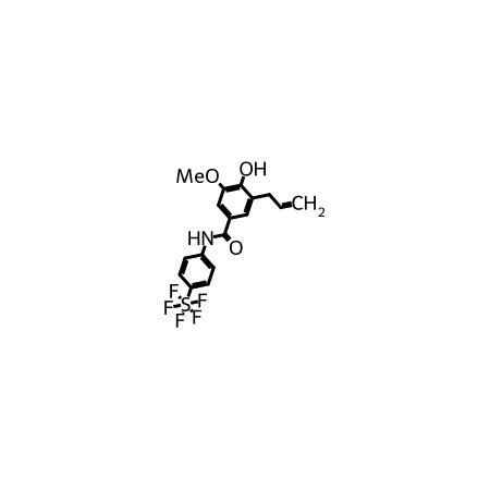 C=CCc1cc(C(=O)Nc2ccc(S(F)(F)(F)(F)F)cc2)cc(OC)c1O